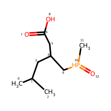 CC(C)CC(CC(=O)O)C[PH](C)=O